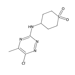 Cc1nc(NC2CCS(=O)(=O)CC2)nnc1Cl